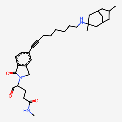 CNC(=O)CCC(C=O)N1Cc2cc(C#CCCCCCCNC3(C)CC4CC(C)CC(C4)C3)ccc2C1=O